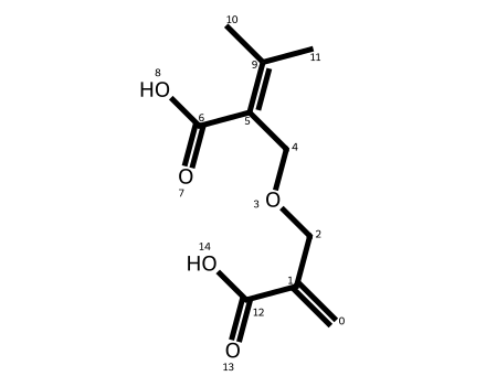 C=C(COCC(C(=O)O)=C(C)C)C(=O)O